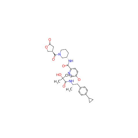 C[C@H](NC(=O)C(C)(C)O)[C@H](Oc1ccc(C(=O)N[C@H]2CCCN(C(=O)[C@H]3COC(=O)C3)C2)nc1)c1ccc(C2CC2)cc1